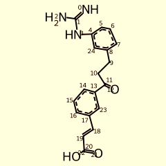 N=C(N)Nc1cccc(CCC(=O)c2cccc(C=CC(=O)O)c2)c1